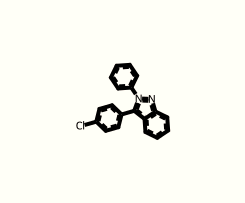 Clc1ccc(-c2c3ccccc3nn2-c2ccccc2)cc1